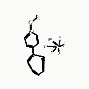 CCO[n+]1ccc(-c2ccccc2)cc1.F[P-](F)(F)(F)(F)F